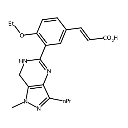 CCCc1nn(C)c2c1N=C(c1cc(C=CC(=O)O)ccc1OCC)NC2